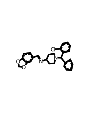 Clc1ccccc1C(c1ccccc1)N1CCC(N=Cc2ccc3c(c2)OCO3)CC1